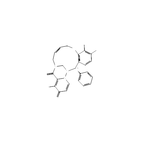 O=C1c2c(O)c(=O)ccn2N2CN1C/C=C\COc1c(ccc(F)c1F)[C@H]2c1ccccc1